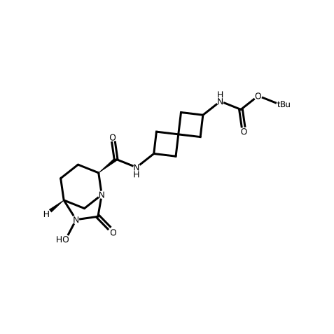 CC(C)(C)OC(=O)NC1CC2(C1)CC(NC(=O)[C@@H]1CC[C@@H]3CN1C(=O)N3O)C2